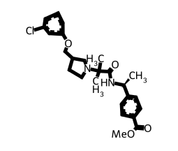 COC(=O)c1ccc([C@H](C)NC(=O)C(C)(C)N2CCC(COc3cccc(Cl)c3)C2)cc1